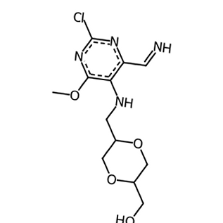 COc1nc(Cl)nc(C=N)c1NCC1COC(CO)CO1